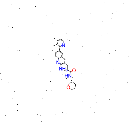 Cc1cccnc1-c1ccc2nc(N)c(CC(C)C(=O)NC[C@@H]3CCCOC3)cc2c1